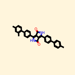 Cc1ccc(-c2ccc(C3=C4C(=O)NC(c5ccc(-c6ccc(C)cc6C)cc5)=C4C(=O)N3)cc2)cc1